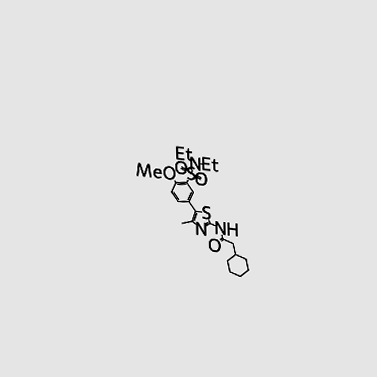 CCN(CC)S(=O)(=O)c1cc(-c2sc(NC(=O)CC3CCCCC3)nc2C)ccc1OC